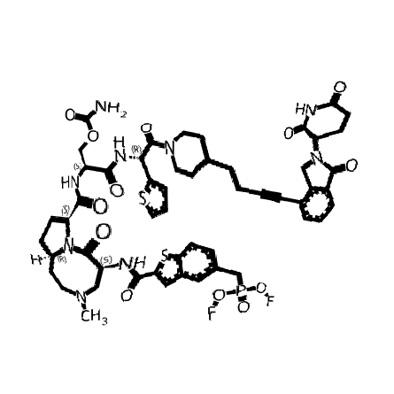 CN1CC[C@H]2CC[C@@H](C(=O)N[C@@H](COC(N)=O)C(=O)N[C@H](C(=O)N3CCC(CCC#Cc4cccc5c4CN(C4CCC(=O)NC4=O)C5=O)CC3)c3cccs3)N2C(=O)[C@@H](NC(=O)c2cc3cc(CP(=O)(OF)OF)ccc3s2)C1